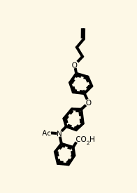 C=CCCOc1ccc(Oc2ccc(N(C(C)=O)c3ccccc3C(=O)O)cc2)cc1